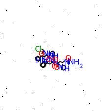 NC(=O)NCCCC(NC(=O)C(Cc1c[nH]c2ccccc12)NC(=O)C1CCCCN1C(=O)C(CCc1ccccc1)NC(=O)CCl)C(=O)N1CCCCC1